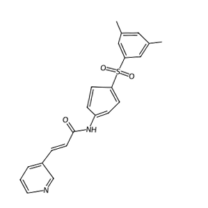 Cc1cc(C)cc(S(=O)(=O)c2ccc(NC(=O)C=Cc3cccnc3)cc2)c1